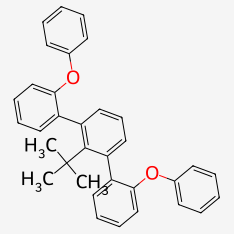 CC(C)(C)c1c(-c2ccccc2Oc2ccccc2)cccc1-c1ccccc1Oc1ccccc1